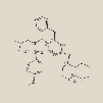 COc1ccc(S(=O)(=O)N(CC(C)C)C[C@@H](O)[C@@H](Cc2ccccc2)NC(=O)O[C@@H]2CCO[C@@H]3OCCCC32)cc1